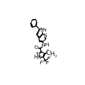 Cc1c(C(=O)Nc2cnc3[nH]c(-c4ccccc4)cc3c2)n[nH]c1C(F)(F)F